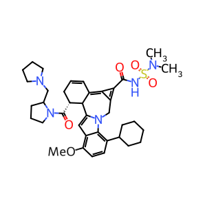 COc1ccc(C2CCCCC2)c2c1cc1n2CC2=C(C(=O)NS(=O)(=O)N(C)C)C2=C2C=CC[C@@H](C(=O)N3CCCC3CN3CCCC3)C21